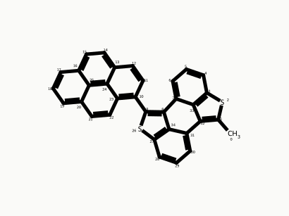 Cc1sc2cccc3c4c(-c5ccc6ccc7cccc8ccc5c6c78)sc5cccc(c1c23)c54